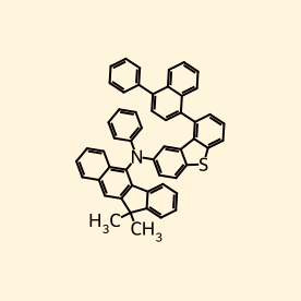 CC1(C)c2ccccc2-c2c1cc1ccccc1c2N(c1ccccc1)c1ccc2sc3cccc(-c4ccc(-c5ccccc5)c5ccccc45)c3c2c1